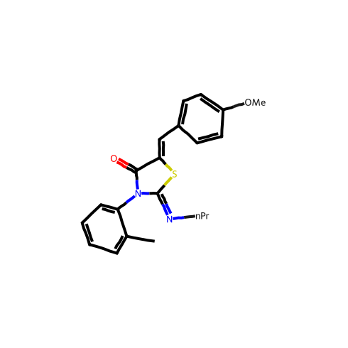 CCC/N=C1\S/C(=C\c2ccc(OC)cc2)C(=O)N1c1ccccc1C